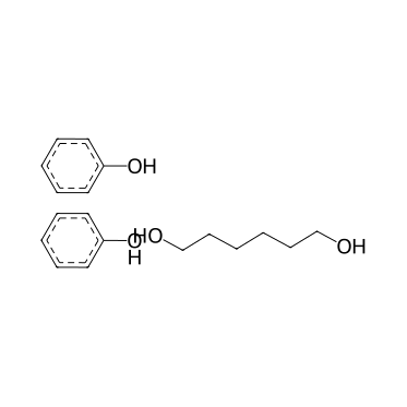 OCCCCCCO.Oc1ccccc1.Oc1ccccc1